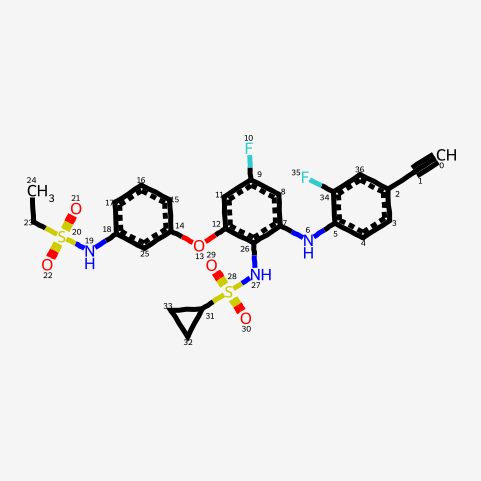 C#Cc1ccc(Nc2cc(F)cc(Oc3cccc(NS(=O)(=O)CC)c3)c2NS(=O)(=O)C2CC2)c(F)c1